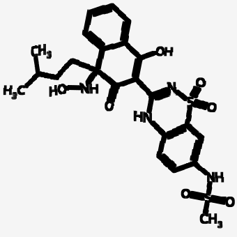 CC(C)CCC1(NO)C(=O)C(C2=NS(=O)(=O)c3cc(NS(C)(=O)=O)ccc3N2)=C(O)c2ccccc21